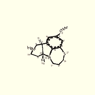 COc1cc2c3c(c1)[C@H]1CNCC[C@H]1N3CCCS2